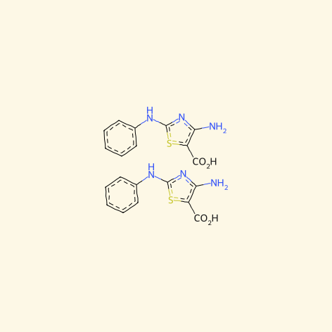 Nc1nc(Nc2ccccc2)sc1C(=O)O.Nc1nc(Nc2ccccc2)sc1C(=O)O